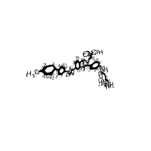 Cc1ccc(-c2ccc(-c3nc(-c4ccc(CN(CC(=O)O)C(=O)c5ccc(NC(=O)CC6=CNCN6)cc5)cc4)no3)cc2)cc1